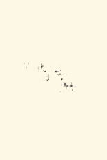 COC(=O)Nc1ccc2c(c1)NC(=O)CCCCC(C(=O)N1CC[C@@]3(C1)OC(=O)Nc1ccc(Cl)c(F)c13)c1nc-2c(Cl)[nH]1